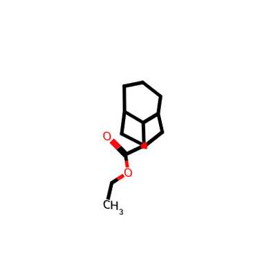 CCOC(=O)CC1C2CCCC1CCC2